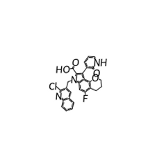 O=C(O)c1c(-c2ccc[nH]c2=O)c2c3c(c(F)cc2n1Cc1cc2ccccc2nc1Cl)CCCO3